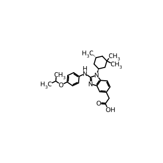 CC(C)Oc1ccc(Nc2nc3cc(CC(=O)O)ccc3n2[C@H]2C[C@H](C)CC(C)(C)C2)cc1